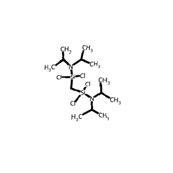 CC(C)N(C(C)C)[Si](Cl)(Cl)C[Si](Cl)(Cl)N(C(C)C)C(C)C